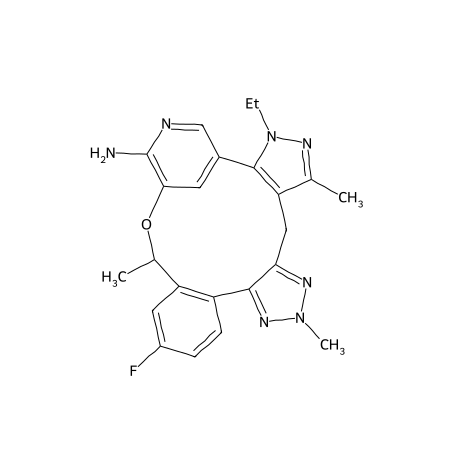 CCn1nc(C)c2c1-c1cnc(N)c(c1)OC(C)c1cc(F)ccc1-c1nn(C)nc1C2